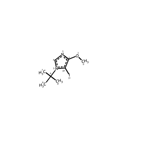 COc1ncn(C(C)(C)C)c1I